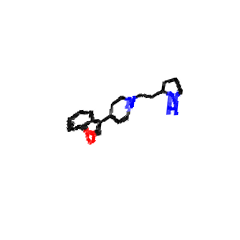 c1ccc2c(C3CCN(CCC4CCCN4)CC3)coc2c1